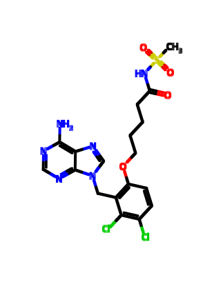 CS(=O)(=O)NC(=O)CCCCOc1ccc(Cl)c(Cl)c1Cn1cnc2c(N)ncnc21